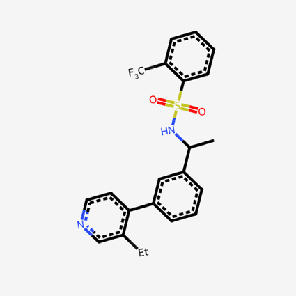 CCc1cnccc1-c1cccc(C(C)NS(=O)(=O)c2ccccc2C(F)(F)F)c1